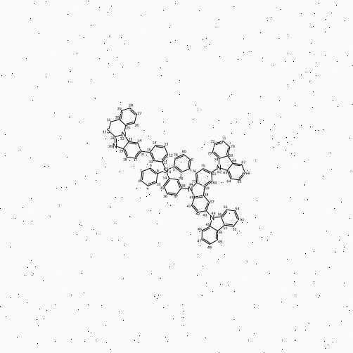 c1ccc([Si](c2ccccc2)(c2cccc(-c3ccc4nc5n(c4c3)-c3ccccc3CS5)c2)c2cccc(-n3c4ccc(-n5c6ccccc6c6ccccc65)cc4c4cc(-n5c6ccccc6c6ccccc65)ccc43)c2)cc1